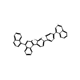 c1ccc2c(-c3ccc4c(c3)oc3c4ccc4c3sc3cc(-c5cccc6ccccc56)c5ccccc5c34)cccc2c1